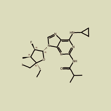 CC[C@@]1(CI)O[C@@H](n2cnc3c(NC4CC4)nc(NC(=O)C(C)C)nc32)[C@H](F)[C@@H]1C